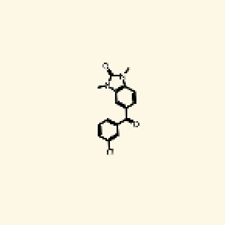 Cn1c(=O)n(C)c2cc(C(=O)c3cccc(Cl)c3)ccc21